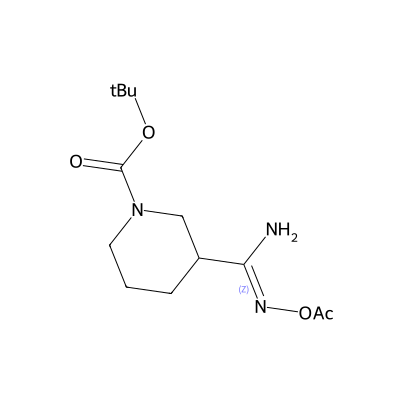 CC(=O)O/N=C(\N)C1CCCN(C(=O)OC(C)(C)C)C1